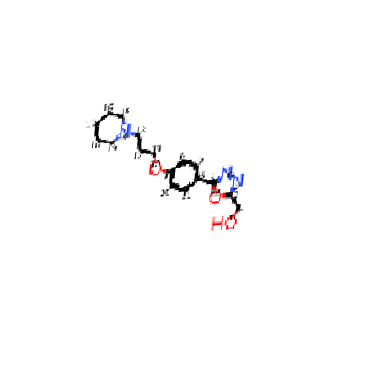 OCc1nnc(-c2ccc(OCCCN3CCCCC3)cc2)o1